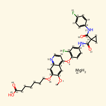 COc1cc2c(Oc3ccc(NC(=O)C4(C(=O)Nc5ccc(F)cc5)CC4)cc3F)ccnc2cc1OCCCCCCC(=O)O.[MgH2]